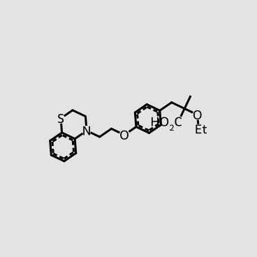 CCOC(C)(Cc1ccc(OCCN2CCSc3ccccc32)cc1)C(=O)O